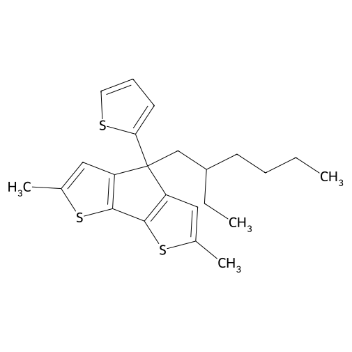 CCCCC(CC)CC1(c2cccs2)c2cc(C)sc2-c2sc(C)cc21